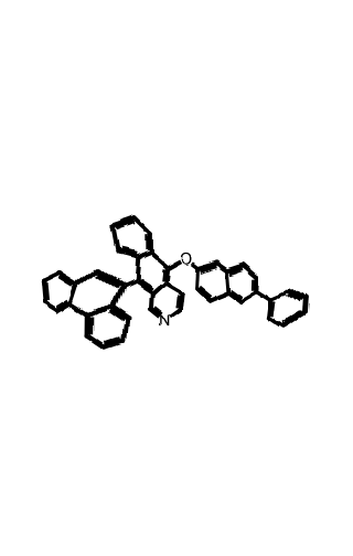 c1ccc(-c2ccc3cc(Oc4c5ccccc5c(-c5cc6ccccc6c6ccccc56)c5cnccc45)ccc3c2)cc1